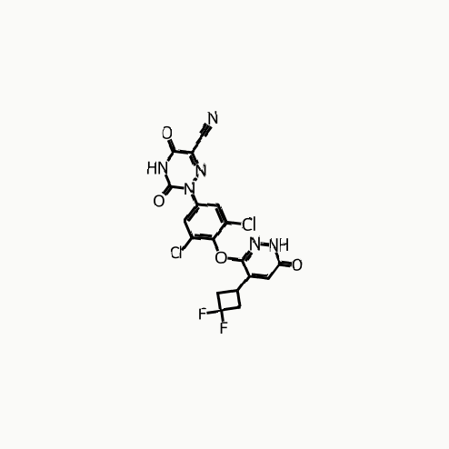 N#Cc1nn(-c2cc(Cl)c(Oc3n[nH]c(=O)cc3C3CC(F)(F)C3)c(Cl)c2)c(=O)[nH]c1=O